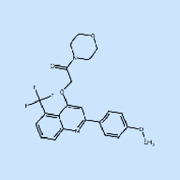 COc1ccc(-c2cc(OCC(=O)N3CCOCC3)c3c(C(F)(F)F)cccc3n2)cc1